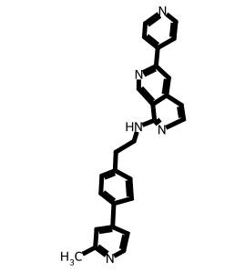 Cc1cc(-c2ccc(CCNc3nccc4cc(-c5ccncc5)ncc34)cc2)ccn1